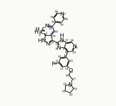 C=c1[nH]nc(-c2nc3c(-c4cc(F)cc(OCCN5CCCC5)c4)cncc3[nH]2)/c1=C/C(=N\C)c1ccncc1